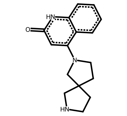 O=c1cc(N2CCC3(CCNC3)C2)c2ccccc2[nH]1